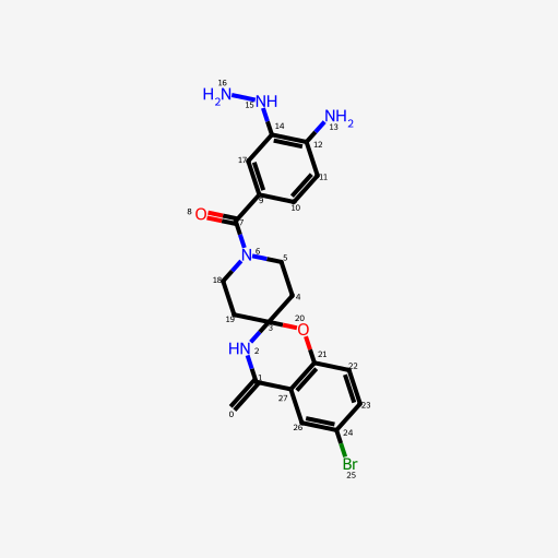 C=C1NC2(CCN(C(=O)c3ccc(N)c(NN)c3)CC2)Oc2ccc(Br)cc21